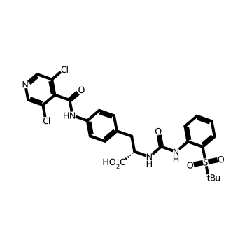 CC(C)(C)S(=O)(=O)c1ccccc1NC(=O)N[C@@H](Cc1ccc(NC(=O)c2c(Cl)cncc2Cl)cc1)C(=O)O